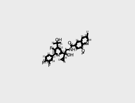 COc1cc(C(=O)NCC(O)(c2cc(C(C)(C)O)c(F)c(-c3ccc(F)c(F)c3)n2)C2CC2)cc2cc(C)cnc12